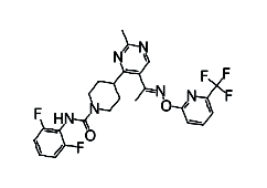 C/C(=N\Oc1cccc(C(F)(F)F)n1)c1cnc(C)nc1C1CCN(C(=O)Nc2c(F)cccc2F)CC1